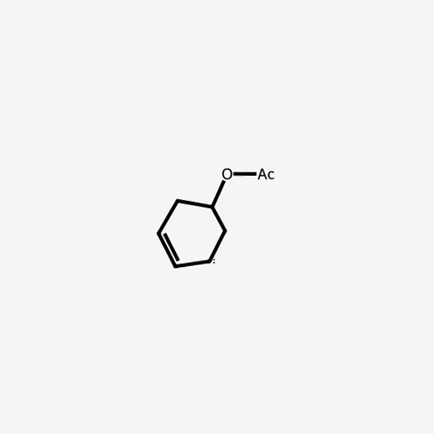 CC(=O)OC1C[C]C=CC1